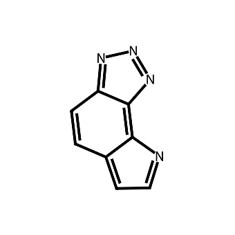 C1=Nc2c3c(ccc2=C1)=NN=N3